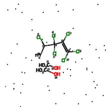 CCCC(Cl)C(Cl)(Cl)C(Cl)=C(Cl)Cl.O=C(O)O.O=C(O)O